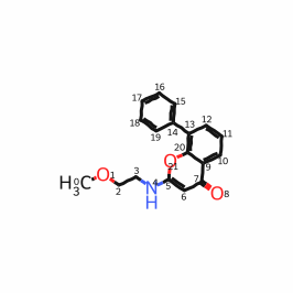 COCCNc1cc(=O)c2cccc(-c3ccccc3)c2o1